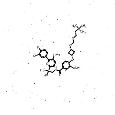 COc1cc(C(=O)NCC(C)(O)c2ccc(OC)c(-c3ccc(F)c(Cl)c3)n2)ccc1O[C@H]1C[C@H](OCOCC[Si](C)(C)C)C1